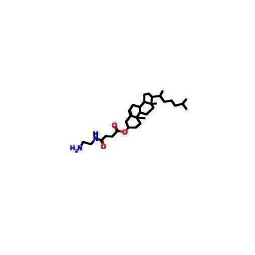 CC(C)CCCC(C)C1CCC2C3CC=C4CC(OC(=O)CCC(=O)NCCN)CCC4(C)C3CCC12C